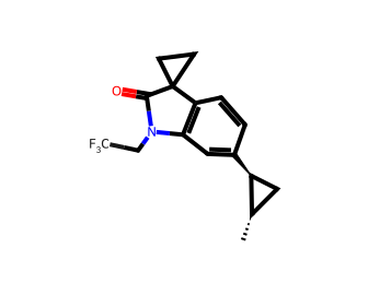 C[C@H]1C[C@@H]1c1ccc2c(c1)N(CC(F)(F)F)C(=O)C21CC1